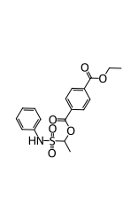 CCOC(=O)c1ccc(C(=O)OC(C)S(=O)(=O)Nc2ccccc2)cc1